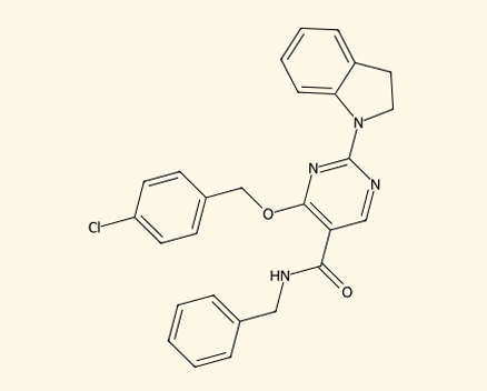 O=C(NCc1ccccc1)c1cnc(N2CCc3ccccc32)nc1OCc1ccc(Cl)cc1